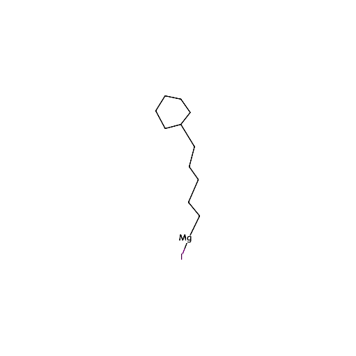 [I][Mg][CH2]CCCCC1CCCCC1